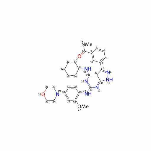 CNC(=O)c1cccc(-c2n[nH]c3nc(Nc4ccc(N5CCOCC5)cc4OC)nc(NC4CCCCC4)c23)c1